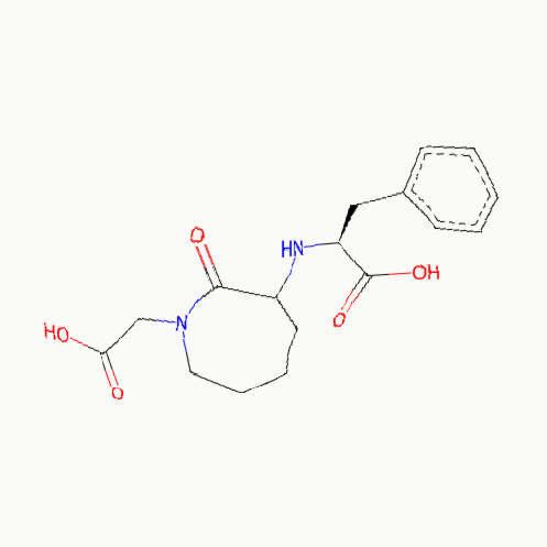 O=C(O)CN1CCCCC(N[C@@H](Cc2ccccc2)C(=O)O)C1=O